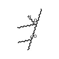 CCCCCCCCCCC(CCCCC=CC(=O)OCC(CCCCCC)CCCCCCCC)N(CCCCCCCCCC)C(=O)CCCN(C)C